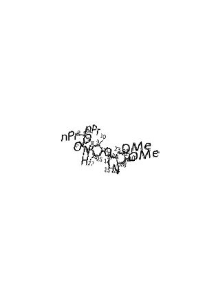 CCCC(CCC)OC(=O)Nc1cc(C)c(Oc2ccnc3cc(OC)c(OC)cc23)cc1C